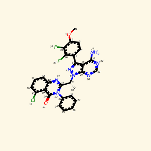 COc1ccc(-c2nn([C@H](C)c3nc4cccc(Cl)c4c(=O)n3-c3ccccc3)c3ncnc(N)c23)c(F)c1F